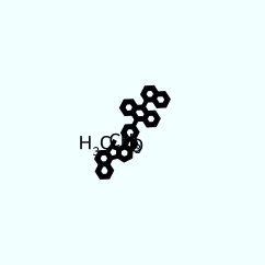 CC1(C)c2ccc3ccccc3c2-c2ccc3oc4cc(-c5c6ccccc6c(-c6cccc7ccccc67)c6ccccc56)ccc4c3c21